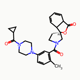 Cc1ccc(N2CCN(C(=O)C3CC3)CC2)cc1C(=O)N1CC[C@@]2(C1)OC(=O)C1C=CC=CC12